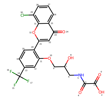 O=C(O)C(=O)NCC(O)COc1cc(C(F)(F)F)ccc1-c1cc(=O)c2cccc(Cl)c2o1